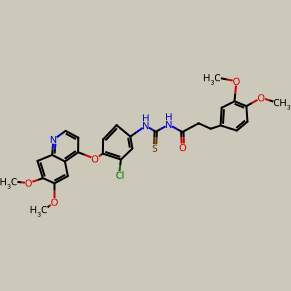 COc1ccc(CCC(=O)NC(=S)Nc2ccc(Oc3ccnc4cc(OC)c(OC)cc34)c(Cl)c2)cc1OC